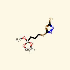 CO[Si](CCCSc1nnc(S)s1)(OC)OC